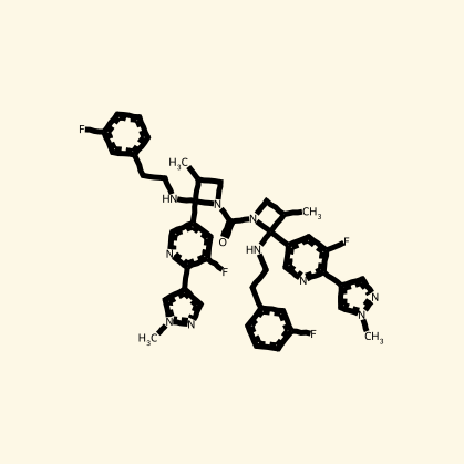 CC1CN(C(=O)N2CC(C)C2(NCCc2cccc(F)c2)c2cnc(-c3cnn(C)c3)c(F)c2)C1(NCCc1cccc(F)c1)c1cnc(-c2cnn(C)c2)c(F)c1